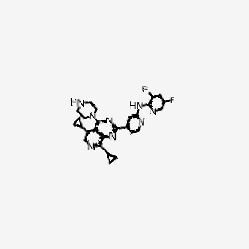 Fc1cnc(Nc2cc(-c3nc(N4CCNCC4)c4c(C5CC5)cnc(C5CC5)c4n3)ccn2)c(F)c1